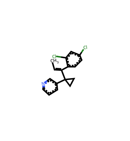 CC=C(c1ccc(Cl)cc1Cl)C1(c2cccnc2)CC1